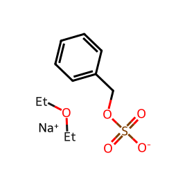 CCOCC.O=S(=O)([O-])OCc1ccccc1.[Na+]